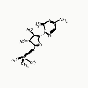 C=C1N=C(N)C=NN1[C@@H]1O[C@H](CCP(=C)(C)C)[C@@H](O)[C@H]1O